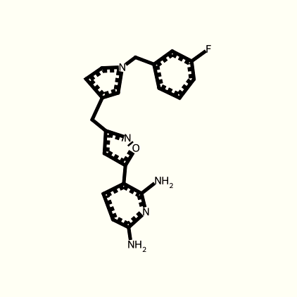 Nc1ccc(-c2cc(Cc3ccn(Cc4cccc(F)c4)c3)no2)c(N)n1